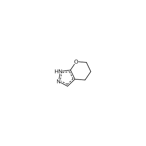 c1n[nH]c2c1CCCO2